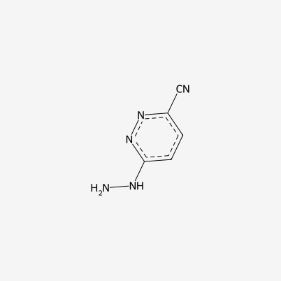 N#Cc1ccc(NN)nn1